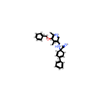 Cc1ncc(CNC2(C#N)C=CC(c3ccccc3)=CC2)c(C)c1OCc1ccccc1